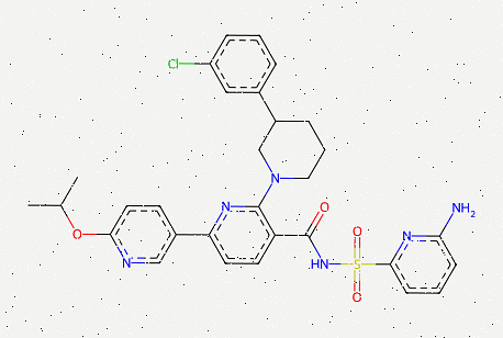 CC(C)Oc1ccc(-c2ccc(C(=O)NS(=O)(=O)c3cccc(N)n3)c(N3CCCC(c4cccc(Cl)c4)C3)n2)cn1